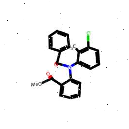 COC(=O)c1ccccc1N(C(=O)c1ccccc1)c1cccc(Cl)c1C